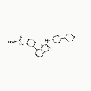 C#CC(=O)Nc1ccnc(-c2cccc3cnc(Nc4ccc(N5CCOCC5)cc4)nc23)c1